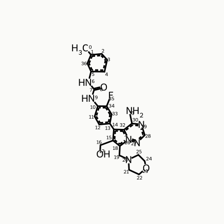 Cc1cccc(NC(=O)Nc2ccc(-c3c(CO)c(CN4CCOCC4)n4ncnc(N)c34)cc2F)c1